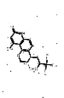 C[C@@H]1COc2c(ccc3[nH]c(=O)cc(Cl)c23)N1CC(O)C(F)(F)F